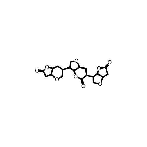 O=C1CC2OCC(C3COC4CC(C5COC6CC(=O)OC65)C(=O)OC43)CC2O1